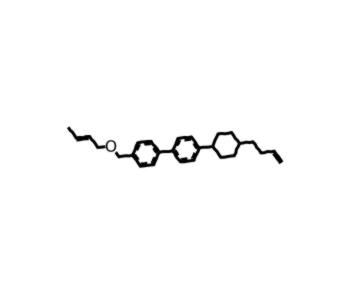 C=CCCC1CCC(c2ccc(-c3ccc(COCC=CC)cc3)cc2)CC1